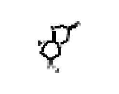 C=C1CNC2=NCC(=O)CN2C1